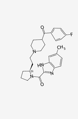 Cc1ccc2nc(C(=O)N3CCC[C@H]3CCN3CCC(C(=O)c4ccc(F)cc4)CC3)[nH]c2c1